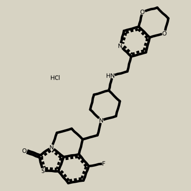 Cl.O=c1sc2ccc(F)c3c2n1CCC3CN1CCC(NCc2cc3c(cn2)OCCO3)CC1